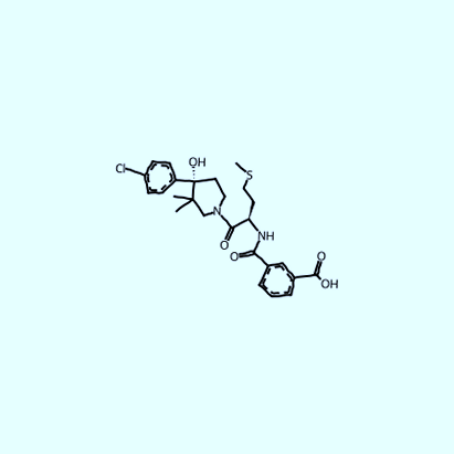 CSCC[C@@H](NC(=O)c1cccc(C(=O)O)c1)C(=O)N1CC[C@](O)(c2ccc(Cl)cc2)C(C)(C)C1